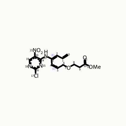 C=C/C=C(\C=C/COCCC(=O)OC)Nc1nc(Cl)ncc1[N+](=O)[O-]